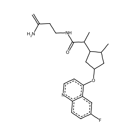 C=C(N)CCNC(=O)C(C)C1CC(Oc2ccnc3ccc(F)cc23)CC1C